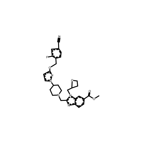 COC(=O)c1ccc2nc(CN3CCC(n4ccc(OCc5ccc(C#N)cc5F)n4)CC3)n(CC3CCO3)c2c1